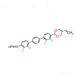 C=CC1COC(c2ccc(-c3ccc(-c4ccc(CCCCC)c(F)c4F)cc3)c(F)c2F)OC1